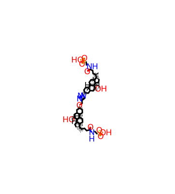 C[C@H](CCC(=O)NCCS(=O)(=O)O)[C@H]1CC[C@@H]2C3[C@@H](CC[C@@]21C)[C@@]1(C)CC[C@@H](n2cc(CO[C@@H]4CC[C@]5(C)C(C4)C[C@@H](O)C4[C@H]5CC[C@]5(C)[C@H]4CC[C@H]5[C@@H](C)CCC(=O)NCCS(=O)(=O)O)nn2)CC1C[C@@H]3O